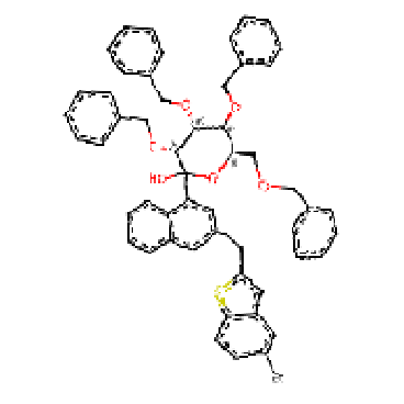 CCc1ccc2sc(Cc3cc(C4(O)O[C@H](COCc5ccccc5)[C@H](OCc5ccccc5)[C@@H](OCc5ccccc5)[C@H]4OCc4ccccc4)c4ccccc4c3)cc2c1